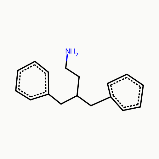 NCCC(Cc1ccccc1)Cc1ccccc1